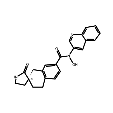 O=C(c1ccc2c(c1)C[C@@]1(CCNC1=O)CC2)N(O)c1cnc2ccccc2c1